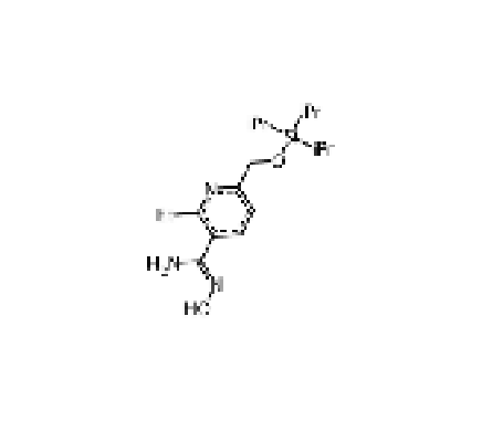 CCc1nc(CO[Si](C(C)C)(C(C)C)C(C)C)ccc1/C(N)=N/O